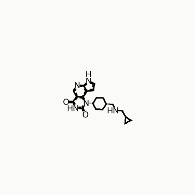 O=c1[nH]c(=O)n([C@H]2CC[C@H](CNCC3CC3)CC2)c2c1cnc1[nH]ccc12